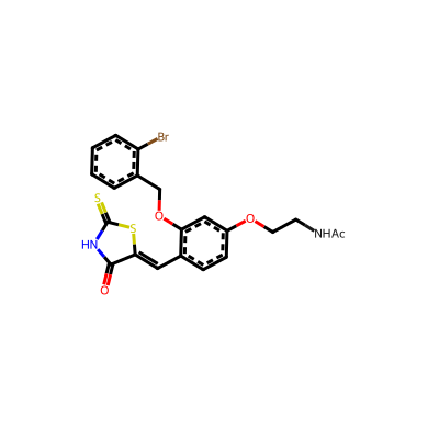 CC(=O)NCCOc1ccc(/C=C2\SC(=S)NC2=O)c(OCc2ccccc2Br)c1